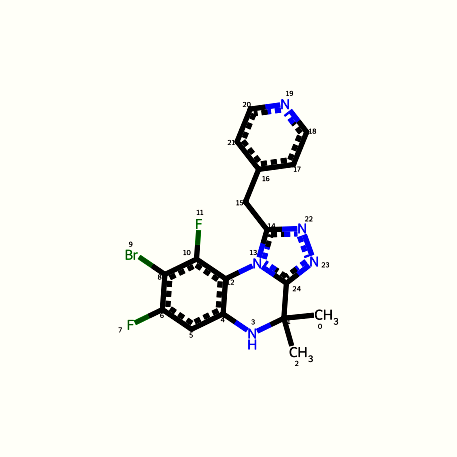 CC1(C)Nc2cc(F)c(Br)c(F)c2-n2c(Cc3ccncc3)nnc21